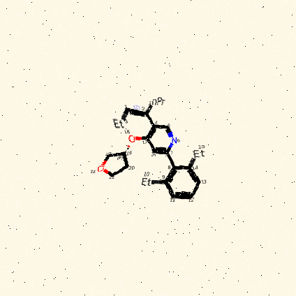 CC/C=C(/CCC)c1cnc(-c2c(CC)cccc2CC)cc1O[C@@H]1CCOC1